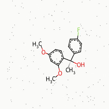 COc1ccc([C@](C)(O)c2ccc(F)cc2)c(OC)c1